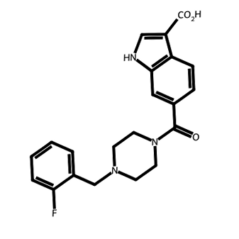 O=C(O)c1c[nH]c2cc(C(=O)N3CCN(Cc4ccccc4F)CC3)ccc12